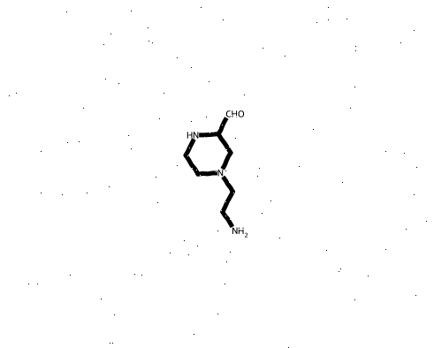 NCCN1CCNC(C=O)C1